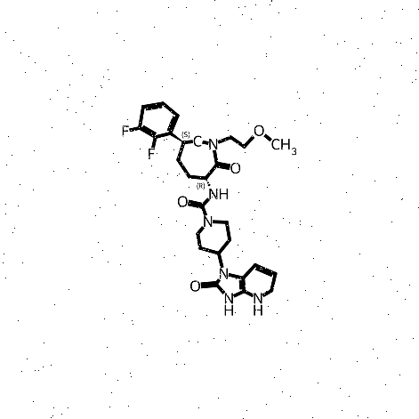 COCCN1C[C@H](c2cccc(F)c2F)CC[C@@H](NC(=O)N2CCC(n3c4c([nH]c3=O)NCC=C4)CC2)C1=O